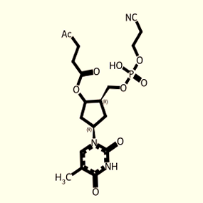 CC(=O)CCC(=O)OC1C[C@H](n2cc(C)c(=O)[nH]c2=O)C[C@@H]1COP(=O)(O)OCCC#N